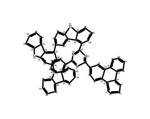 c1ccc(-c2nc(-c3ccc4c5ccccc5c5ccccc5c4c3)nc(-c3cccc4oc5ccc(-c6cc(-n7c8ccccc8c8ccccc87)cc7oc8ccccc8c67)cc5c34)n2)cc1